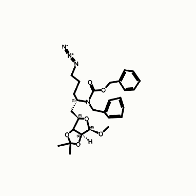 CO[C@@H]1O[C@H](C[C@H](CCCN=[N+]=[N-])N(Cc2ccccc2)C(=O)OCc2ccccc2)C2OC(C)(C)O[C@@H]21